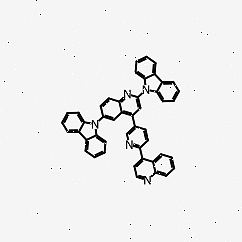 c1ccc2c(-c3ccc(-c4cc(-n5c6ccccc6c6ccccc65)nc5ccc(-n6c7ccccc7c7ccccc76)cc45)cn3)ccnc2c1